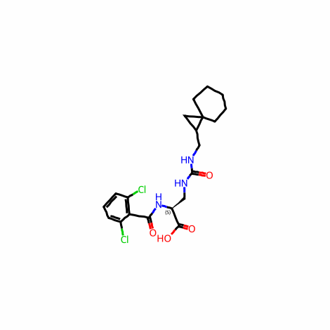 O=C(NCC1CC12CCCCC2)NC[C@H](NC(=O)c1c(Cl)cccc1Cl)C(=O)O